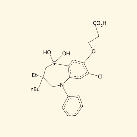 CCCCC1(CC)CN(c2ccccc2)c2cc(Cl)c(OCCC(=O)O)cc2S(O)(O)C1